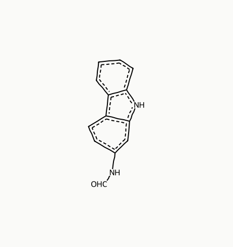 O=CNc1ccc2c(c1)[nH]c1ccccc12